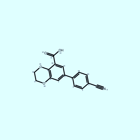 N#Cc1ccc(-c2cc3c(c(C(=O)O)c2)OCCO3)cc1